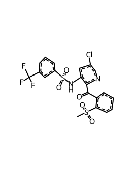 CS(=O)(=O)c1ccccc1C(=O)c1ncc(Cl)cc1NS(=O)(=O)c1cccc(C(F)(F)F)c1